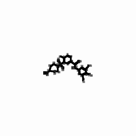 Cc1ccc(C(=O)Nc2cc(F)c(F)c(F)c2)cc1S(=O)(=O)N1CCC(O)CC1